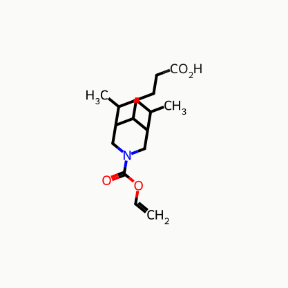 C=COC(=O)N1CC2C(C)CC(C)C(C1)C2CCCC(=O)O